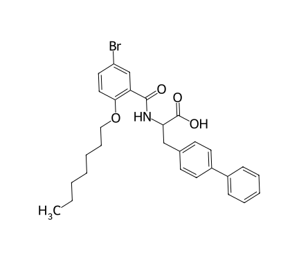 CCCCCCCOc1ccc(Br)cc1C(=O)NC(Cc1ccc(-c2ccccc2)cc1)C(=O)O